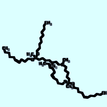 CCCCC/C=C\CCCCO[Si](C)(CCCCCN(C)CCN(C)CCCC[Si](C)(OCCC/C=C\CCCCC)OCCCCCCCCCC)OCCC/C=C\CCCCC